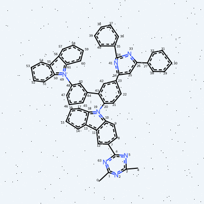 Cc1nc(C)nc(-c2ccc3c(c2)c2ccccc2n3-c2ccc(-c3cc(-c4ccccc4)nc(-c4ccccc4)n3)cc2-c2cccc(-n3c4ccccc4c4ccccc43)c2)n1